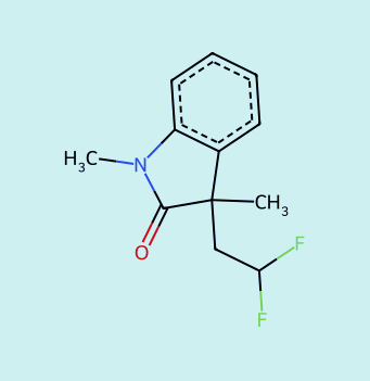 CN1C(=O)C(C)(CC(F)F)c2ccccc21